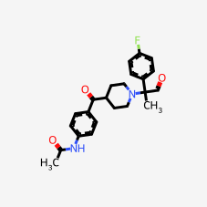 CC(=O)Nc1ccc(C(=O)C2CCN(C(C)(C=O)c3ccc(F)cc3)CC2)cc1